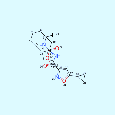 CC(C)(C)OC(=O)N1C2CCC[C@@H]1C[C@@H](NC(=O)c1cc(C3CC3)on1)C2